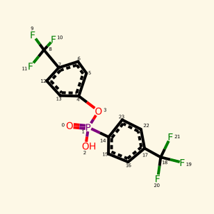 O=P(O)(Oc1ccc(C(F)(F)F)cc1)c1ccc(C(F)(F)F)cc1